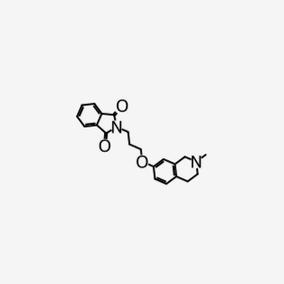 CN1CCc2ccc(OCCCN3C(=O)c4ccccc4C3=O)cc2C1